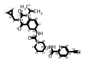 CC(C)n1c2c(c(=O)n(CC3CC3)c1=O)CC(NC(=O)N1CCC[C@@H](NC(=O)c3ccc(C#N)cn3)C1)C=C2